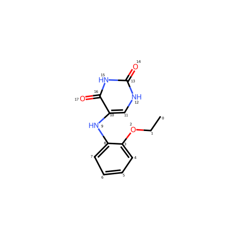 CCOc1ccccc1Nc1c[nH]c(=O)[nH]c1=O